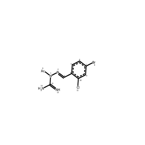 CC(=O)N(/N=C/c1ccc(Br)cc1Cl)C(=N)N